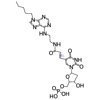 CCCCCn1cnc2c(NCCNC(=O)/C=C/c3cn(C4CC(O)C(COP(=O)(O)O)O4)c(=O)[nH]c3=O)ncnc21